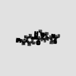 Cc1nc(-c2cc(C(=O)Nc3ccc(CC(C)C)cc3)n(C)c2)cs1